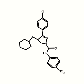 O=C(Nc1ccc([N+](=O)[O-])cc1)N1CC(CC2CCCCC2)C(c2ccc(Cl)cc2)=N1